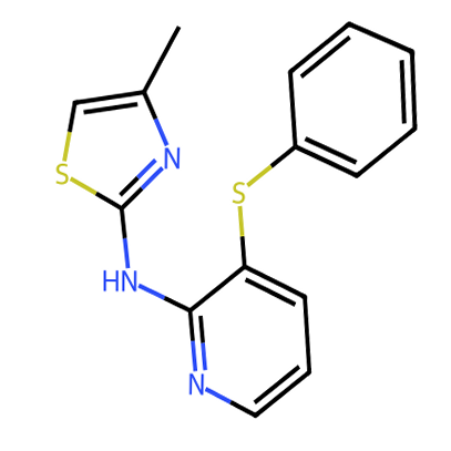 Cc1csc(Nc2ncccc2Sc2ccccc2)n1